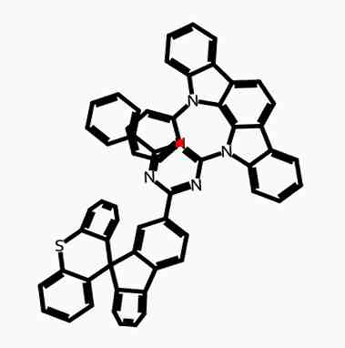 c1ccc(-c2nc(-c3ccc4c(c3)C3(c5ccccc5Sc5ccccc53)c3ccccc3-4)nc(-n3c4ccccc4c4ccc5c6ccccc6n(-c6ccccc6)c5c43)n2)cc1